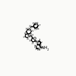 Nc1ncnc2c1ccn2C1CCC(CN2CCCC23CCN(Cc2cccnc2)CC3)O1